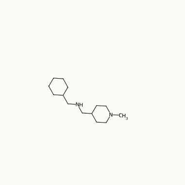 CN1CCC(CNCC2CCCCC2)CC1